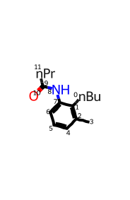 CCCCc1c(C)cccc1NC(=O)CCC